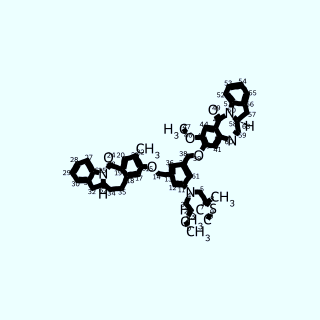 COCCN(CC(C)(C)SC)c1cc(COc2cc3c(cc2C)C(=O)N2c4ccccc4C[C@H]2CC3)cc(COc2cc3c(cc2OC)C(=O)N2c4ccccc4C[C@H]2C=N3)c1